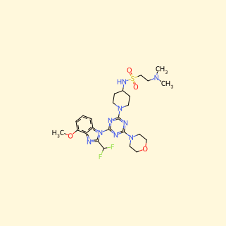 COc1cccc2c1nc(C(F)F)n2-c1nc(N2CCOCC2)nc(N2CCC(NS(=O)(=O)CCN(C)C)CC2)n1